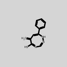 C=C1/C=C(/c2ccccc2)N/N=C\N=C/1S